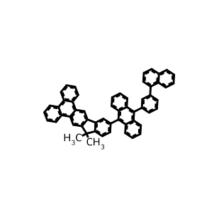 CC1(C)c2ccc(-c3c4ccccc4c(-c4cccc(-c5cccc6ccccc56)c4)c4ccccc34)cc2-c2cc3c4ccccc4c4ccccc4c3cc21